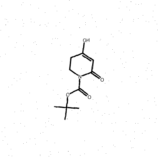 CC(C)(C)OC(=O)N1CCC(O)=CC1=O